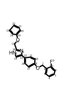 Fc1ccccc1COc1ccc(-c2c[nH]c(COc3ccccc3)n2)cc1